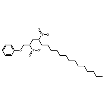 CCCCCCCCCCCCCCC(CC(COc1ccccc1)[N+](=O)[O-])[N+](=O)[O-]